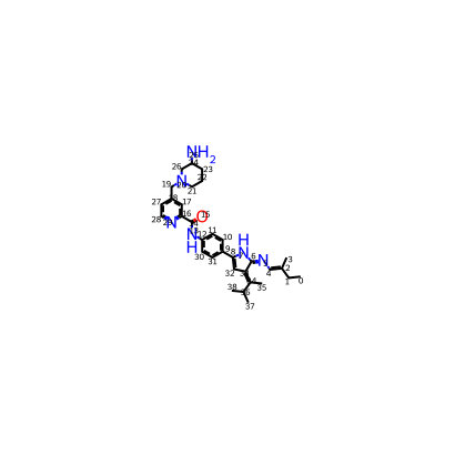 CC/C(C)=C/N=C1/NC(c2ccc(NC(=O)c3cc(CN4CCCC(N)C4)ccn3)cc2)=C/C1=C(/C)C(C)C